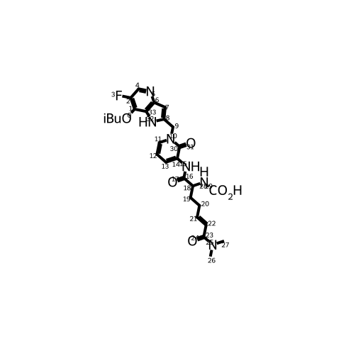 CC(C)COc1c(F)cnc2cc(Cn3cccc(NC(=O)C(CCC=CC(=O)N(C)C)NC(=O)O)c3=O)[nH]c12